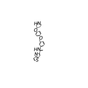 C=C(Nc1cccc(COc2ccc(OC3CCNCC3)cc2)c1)c1cc2sccc2n1C